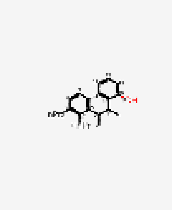 CCCc1cccc(C(C)C(C)c2ccccc2O)c1CCC